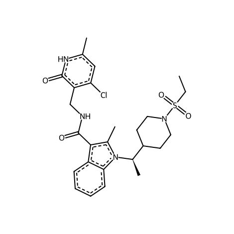 CCS(=O)(=O)N1CCC([C@@H](C)n2c(C)c(C(=O)NCc3c(Cl)cc(C)[nH]c3=O)c3ccccc32)CC1